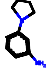 Nc1cc[c]c(N2CCCC2)c1